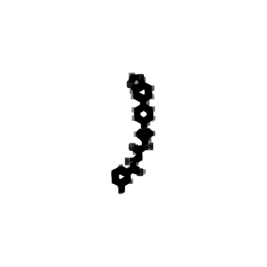 Cc1cccc(C(=O)NCC(=O)NC2CN(C3CCC(c4ccc5c(c4)OCO5)CC3)C2)c1